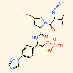 CC(C)[C@H](N=[N+]=[N-])C(=O)N1C[C@H](O)C[C@H]1C(=O)N[C@@H](COP(=O)(O)O)c1ccc(-n2cncn2)cc1